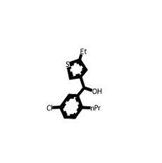 CCCc1ccc(Cl)cc1C(O)c1csc(CC)c1